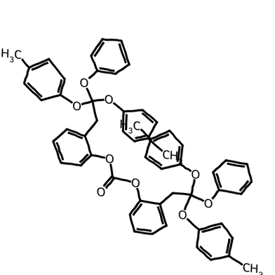 Cc1ccc(OC(Cc2ccccc2OC(=O)Oc2ccccc2CC(Oc2ccccc2)(Oc2ccc(C)cc2)Oc2ccc(C)cc2)(Oc2ccccc2)Oc2ccc(C)cc2)cc1